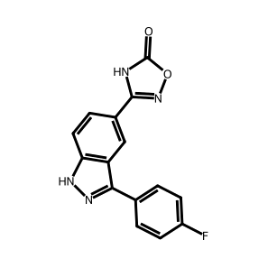 O=c1[nH]c(-c2ccc3[nH]nc(-c4ccc(F)cc4)c3c2)no1